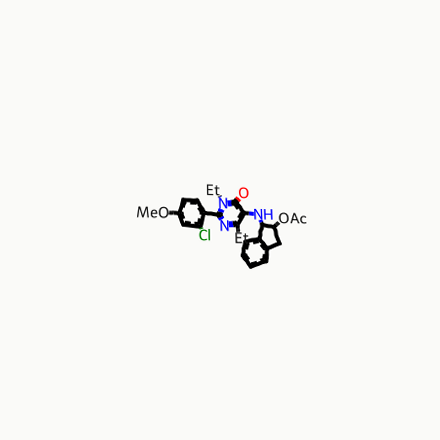 CCc1nc(-c2ccc(OC)cc2Cl)n(CC)c(=O)c1NC1c2ccccc2CC1OC(C)=O